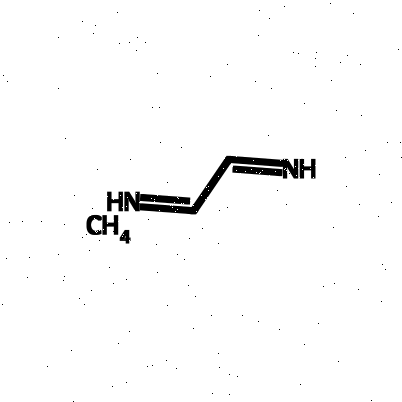 C.N=CC=N